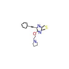 C(#Cc1nc2cscc2nc1OCCN1CCCC1)c1ccccc1